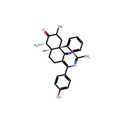 Cc1nc(-c2ccc(O)cc2)c2c(n1)[C@@]1(c3ccccc3)CC(C#N)C(=O)[C@@H](C)[C@@H]1CC2